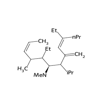 C=C(C=C(CC)CCC)C(C(C)C)[C@@H](NC)C(CC)C(C)/C=C\C